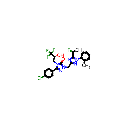 Cc1ccccc1-n1nc(Cn2nc(-c3ccc(Cl)cc3)n(C[C@H](O)C(F)(F)F)c2=O)nc1C(C)F